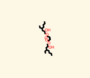 CCCCC(CC)CC(O)COC(=O)/C=C\C(=O)OCC(O)CC(CC)CCCC